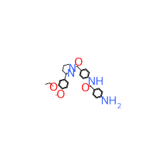 CCOc1cc(C2=NN(C(=O)c3ccc(NC(=O)c4ccc(N)cc4)cc3)CCC2)ccc1OC